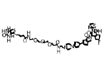 O=C(CCCC[C@@H]1SC[C@@H]2NC(=O)N[C@@H]21)NCCOCCOCCOCCC(=O)NCCN1CCN(c2ccc(-c3ccc4c(c3)C(=O)N(C(C(=O)Nc3nccs3)c3cc(F)ccc3O)C4)cc2)CC1